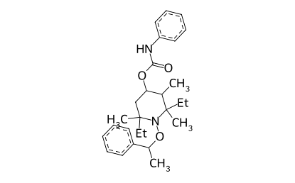 CCC1(C)CC(OC(=O)Nc2ccccc2)C(C)C(C)(CC)N1OC(C)c1ccccc1